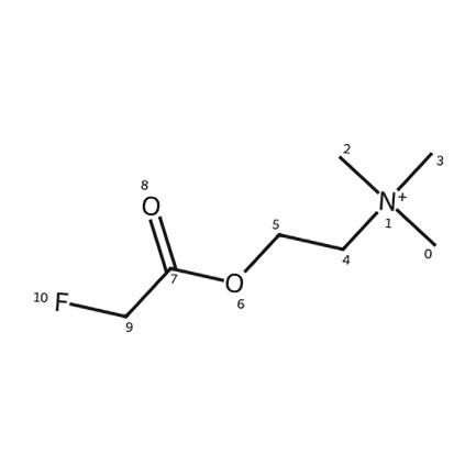 C[N+](C)(C)CCOC(=O)CF